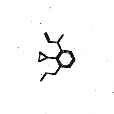 C=C[C](C)c1cccc(CCC)c1C1CC1